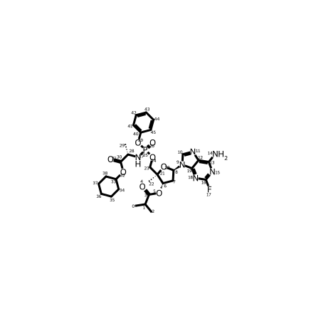 CC(C)C(=O)O[C@H]1C[C@H](n2cnc3c(N)nc(F)nc32)O[C@]1(C)COP(=O)(N[C@@H](C)C(=O)OC1CCCCC1)Oc1ccccc1